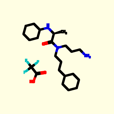 C[C@H](NC1CCCCC1)C(=O)N(CCCN)CCCC1CCCCC1.O=C(O)C(F)(F)F